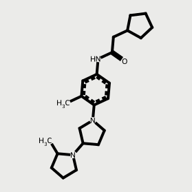 Cc1cc(NC(=O)CC2CCCC2)ccc1N1CCC(N2CCCC2C)C1